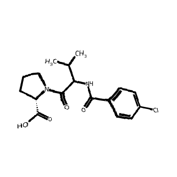 CC(C)C(NC(=O)c1ccc(Cl)cc1)C(=O)N1CCC[C@H]1C(=O)O